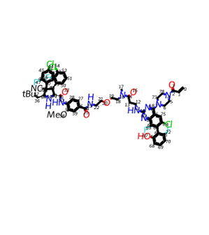 C=CC(=O)N1CCN(c2nc(NCCC(=O)N(C)CCOCCNC(=O)c3ccc(NC(=O)[C@@H]4N[C@@H](CC(C)(C)C)[C@](C#N)(c5ccc(Cl)cc5F)[C@H]4c4cccc(Cl)c4F)c(OC)c3)nc3c(F)c(-c4c(O)cccc4F)c(Cl)cc23)CC1